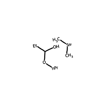 CCCOC(O)CC.[CH3][Sn][CH3]